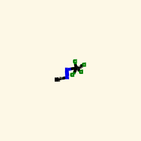 [Cl][Rh-2]([Cl])([Cl])([Cl])[N]=[N][Rh+2]